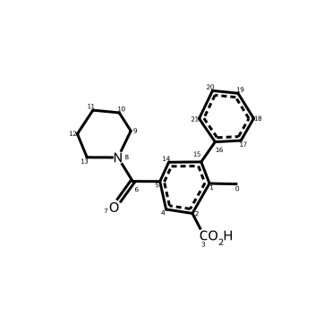 Cc1c(C(=O)O)cc(C(=O)N2CCCCC2)cc1-c1ccccc1